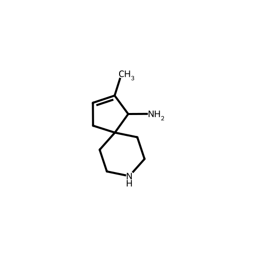 CC1=CCC2(CCNCC2)C1N